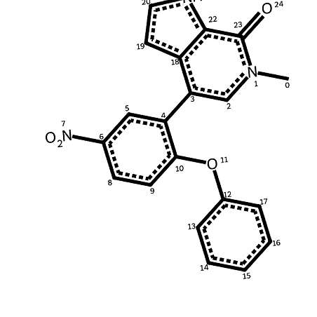 Cn1cc(-c2cc([N+](=O)[O-])ccc2Oc2ccccc2)c2cc[nH]c2c1=O